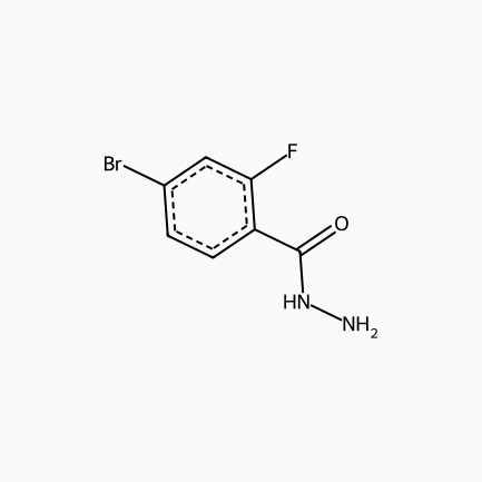 NNC(=O)c1ccc(Br)cc1F